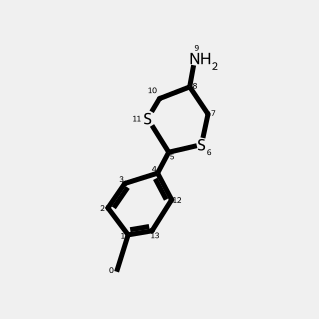 Cc1ccc(C2SCC(N)CS2)cc1